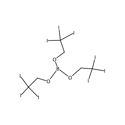 IC(I)(I)COB(OCC(I)(I)I)OCC(I)(I)I